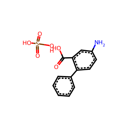 Nc1ccc(-c2ccccc2)c(C(=O)O)c1.O=S(=O)(O)O